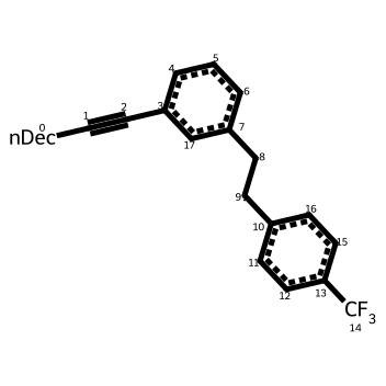 CCCCCCCCCCC#Cc1cccc(C[CH]c2ccc(C(F)(F)F)cc2)c1